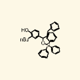 CCCCc1cc(C(CCc2ccccc2)O[Si](c2ccccc2)(c2ccccc2)c2ccccc2)ccc1O